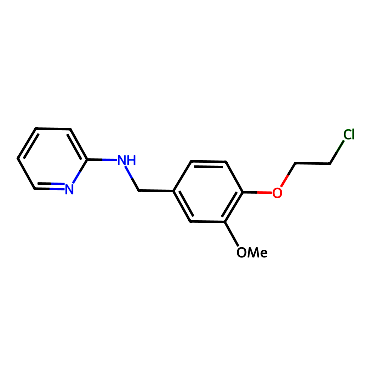 COc1cc(CNc2ccccn2)ccc1OCCCl